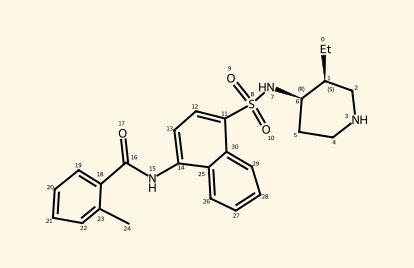 CC[C@H]1CNCC[C@H]1NS(=O)(=O)c1ccc(NC(=O)c2ccccc2C)c2ccccc12